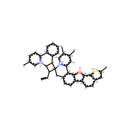 C=CC1C2C(c3ccccc3-c3ccc(C)c[n+]32)C12Cc1ccc3c(oc4c3ccc3cc(C)sc34)c1-c1cc(C)c(C)c[n+]12